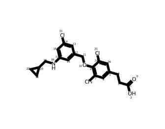 O=C(O)CCc1cc(Cl)c(OCc2cc(Cl)cc(NCC3CC3)c2)c(Cl)c1